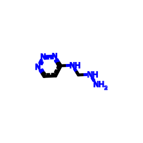 NNCNc1ccnnn1